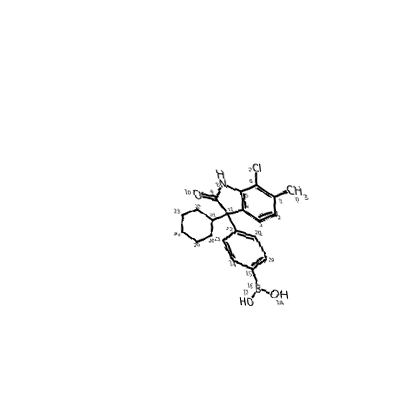 Cc1ccc2c(c1Cl)NC(=O)C2(c1ccc(B(O)O)cc1)C1CCCCC1